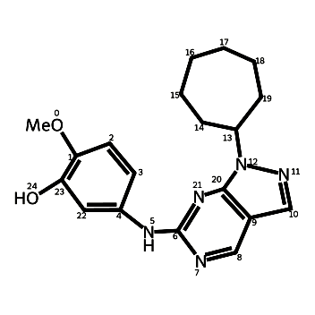 COc1ccc(Nc2ncc3cnn(C4CCCCCC4)c3n2)cc1O